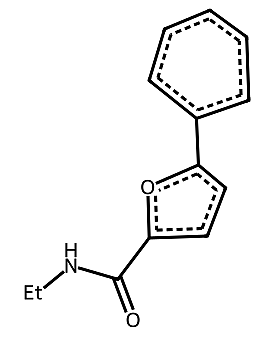 CCNC(=O)c1ccc(-c2ccccc2)o1